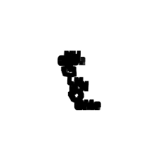 COc1ccc2c(c1)nnn2CC1CCN(S(N)(=O)=O)CC1